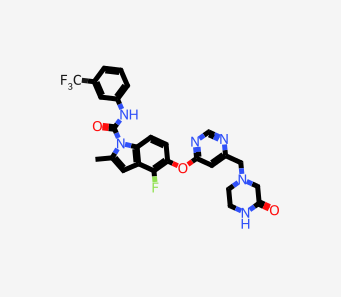 Cc1cc2c(F)c(Oc3cc(CN4CCNC(=O)C4)ncn3)ccc2n1C(=O)Nc1cccc(C(F)(F)F)c1